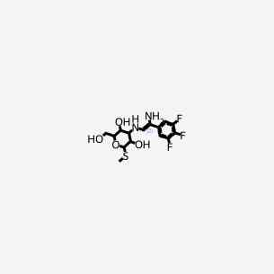 CSC1OC(CO)C(O)C(N/C=C(\N)c2cc(F)c(F)c(F)c2)C1O